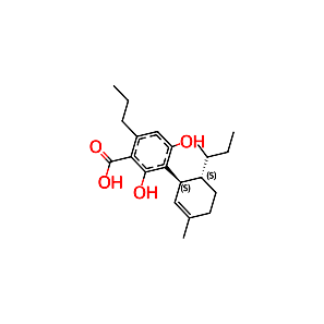 CCCc1cc(O)c([C@@H]2C=C(C)CC[C@H]2C(C)CC)c(O)c1C(=O)O